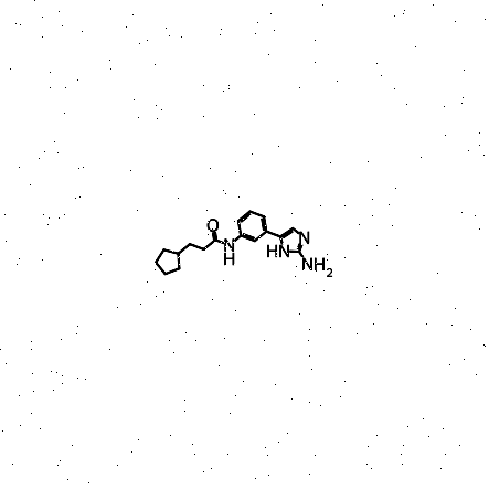 Nc1ncc(-c2cccc(NC(=O)CCC3CCCC3)c2)[nH]1